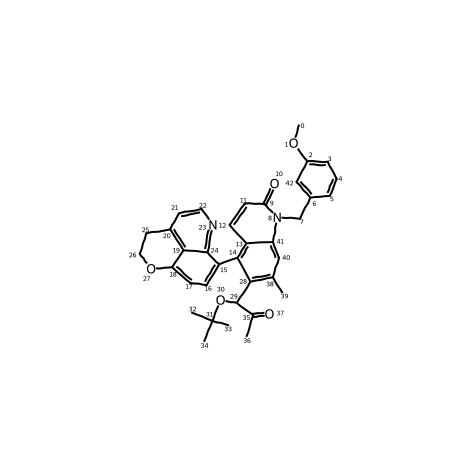 COc1cccc(Cn2c(=O)ccc3c(-c4ccc5c6c(ccnc46)CCO5)c(C(OC(C)(C)C)C(C)=O)c(C)cc32)c1